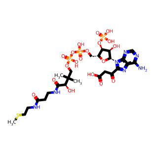 CSCCNC(=O)CCNC(=O)[C@H](O)C(C)(C)COP(=O)(O)OP(=O)(O)OC[C@H]1O[C@@H](n2c(C(=O)CC(=O)O)nc3c(N)ncnc32)[C@H](O)[C@@H]1OP(=O)(O)O